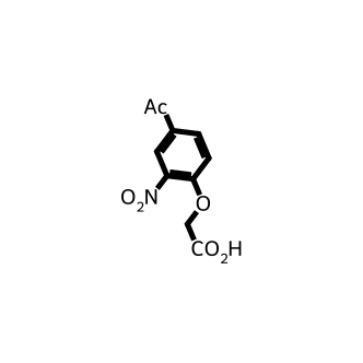 CC(=O)c1ccc(OCC(=O)O)c([N+](=O)[O-])c1